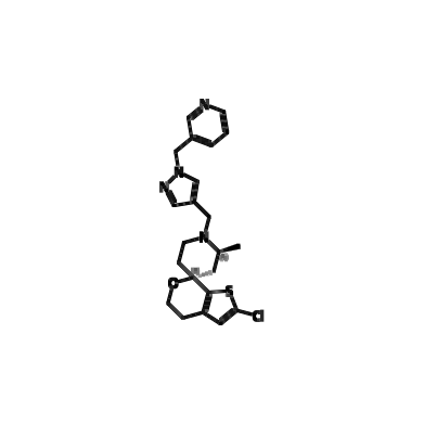 C[C@H]1C[C@@]2(CCN1Cc1cnn(Cc3cccnc3)c1)OCCc1cc(Cl)sc12